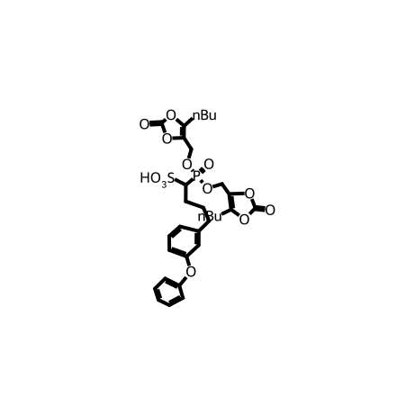 CCCCc1oc(=O)oc1COP(=O)(OCc1oc(=O)oc1CCCC)C(CCCc1cccc(Oc2ccccc2)c1)S(=O)(=O)O